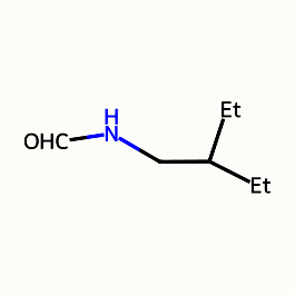 CCC(CC)CNC=O